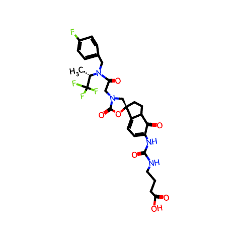 C[C@H](N(Cc1ccc(F)cc1)C(=O)CN1C[C@]2(CCC3C(=O)C(NC(=O)NCCCC(=O)O)=CC=C32)OC1=O)C(F)(F)F